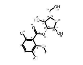 COc1c(Cl)ccc(Cl)c1C(=O)O[C@@H]1[C@@H](O)[C@H](CO)O[C@H]1O